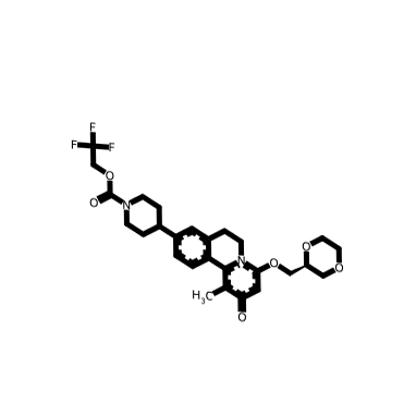 Cc1c2n(c(OC[C@@H]3COCCO3)cc1=O)CCc1cc(C3CCN(C(=O)OCC(F)(F)F)CC3)ccc1-2